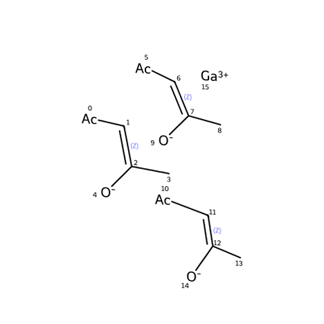 CC(=O)/C=C(/C)[O-].CC(=O)/C=C(/C)[O-].CC(=O)/C=C(/C)[O-].[Ga+3]